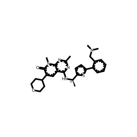 Cc1nc(N[C@H](C)c2ccc(-c3ccccc3CN(C)C)s2)c2cc(C3CCOCC3)c(=O)n(C)c2n1